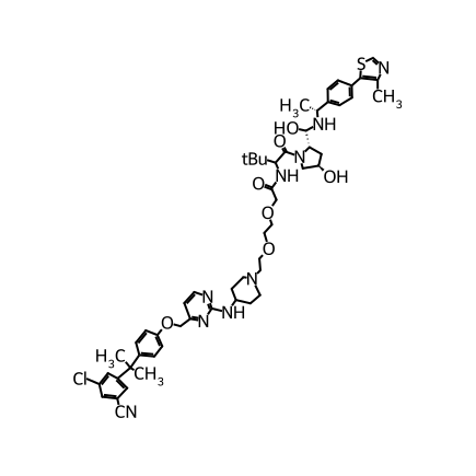 Cc1ncsc1-c1ccc([C@@H](C)NC(O)[C@@H]2C[C@@H](O)CN2C(=O)C(NC(=O)COCCOCCN2CCC(Nc3nccc(COc4ccc(C(C)(C)c5cc(Cl)cc(C#N)c5)cc4)n3)CC2)C(C)(C)C)cc1